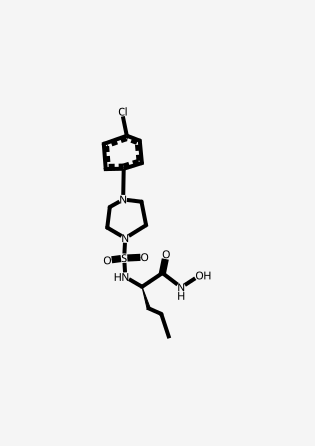 CCC[C@@H](NS(=O)(=O)N1CCN(c2ccc(Cl)cc2)CC1)C(=O)NO